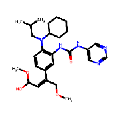 COC/C(=C/C(O)OC)c1ccc(N(CC(C)C)C2CCCCC2)c(NC(=O)Nc2cncnc2)c1